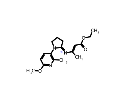 CCOC(=O)C=C(C)/N=C1\CCCN1c1ccc(OC)nc1C